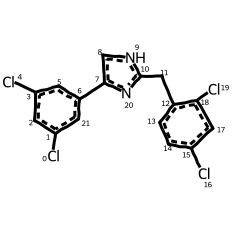 Clc1cc(Cl)cc(-c2c[nH]c(Cc3ccc(Cl)cc3Cl)n2)c1